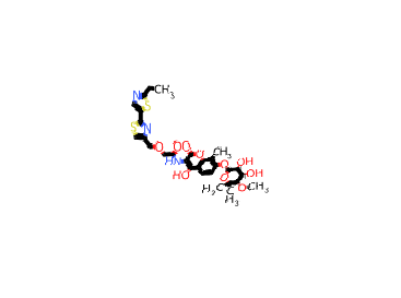 CCc1ncc(-c2nc(COCC(=O)Nc3c(O)c4ccc(O[C@@H]5OC(C)(C)[C@H](OC)[C@@H](O)[C@H]5O)c(C)c4oc3=O)cs2)s1